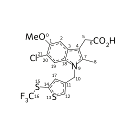 COc1cc2c(CC(=O)O)c(C)n(Cc3csc(SC(F)(F)F)c3)c2cc1Cl